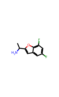 CC(N)c1cc2cc(F)cc(F)c2o1